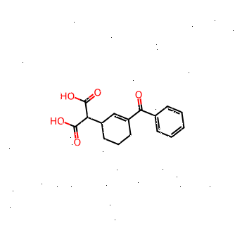 O=C(C1=CC(C(C(=O)O)C(=O)O)CCC1)c1ccccc1